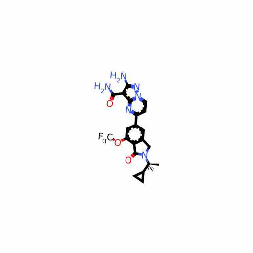 C[C@@H](C1CC1)N1Cc2cc(-c3ccn4nc(N)c(C(N)=O)c4n3)cc(OC(F)(F)F)c2C1=O